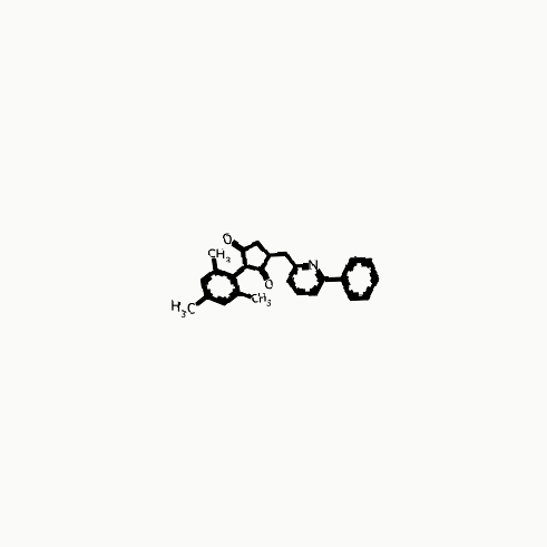 Cc1cc(C)c(C2C(=O)CC(Cc3cccc(-c4ccccc4)n3)C2=O)c(C)c1